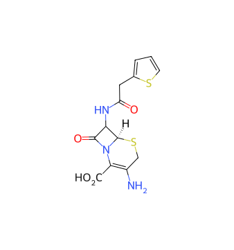 NC1=C(C(=O)O)N2C(=O)C(NC(=O)Cc3cccs3)[C@H]2SC1